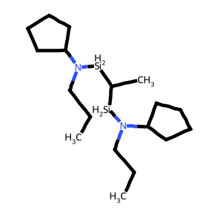 CCCN([SiH2]C(C)[SiH2]N(CCC)C1CCCC1)C1CCCC1